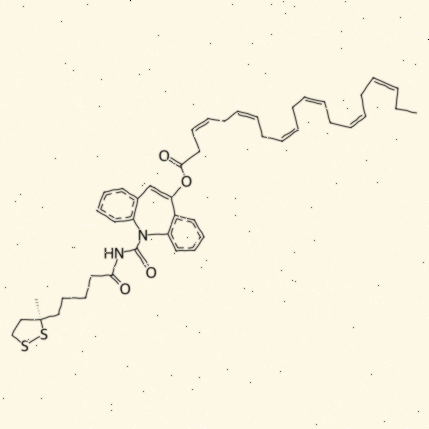 CC/C=C\C/C=C\C/C=C\C/C=C\C/C=C\C/C=C\CC(=O)OC1=Cc2ccccc2N(C(=O)NC(=O)CCCC[C@]2(C)CCSS2)c2ccccc21